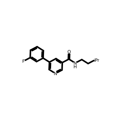 CC(C)CCNC(=O)c1cncc(-c2cccc(F)c2)c1